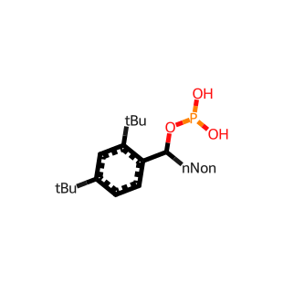 CCCCCCCCCC(OP(O)O)c1ccc(C(C)(C)C)cc1C(C)(C)C